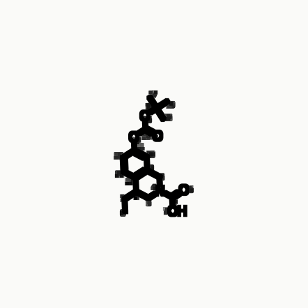 CCC1CN(C(=O)O)Cc2cc(OC(=O)OC(C)(C)C)ccc21